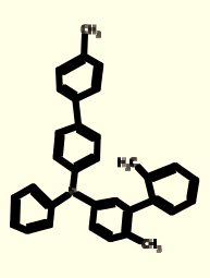 Cc1ccc(-c2ccc(N(c3ccccc3)c3ccc(C)c(-c4ccccc4C)c3)cc2)cc1